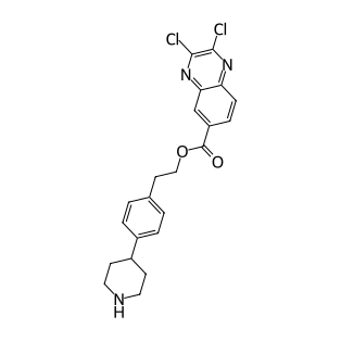 O=C(OCCc1ccc(C2CCNCC2)cc1)c1ccc2nc(Cl)c(Cl)nc2c1